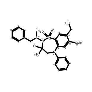 CCCCC1(CC)CN(c2ccccc2)c2cc(OC)c(CO)cc2S(=O)(=O)N1B(C)Cc1ccccc1